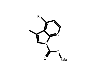 Cc1cn(C(=O)OC(C)(C)C)c2nccc(Br)c12